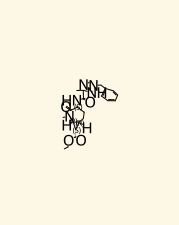 CCOC(=O)[C@H]1[C@H]2CC[C@H](NC(=O)C3(C)N=CN(Cc4ccccc4)N3)C(=O)N(C)[C@H]21